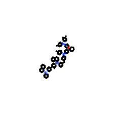 Cc1ccc(N(c2ccc(C)cc2)c2ccc(C3(c4ccc(N(c5ccc(C)cc5)c5ccc(Cc6cccc(N(c7ccc(-c8ccc(N(c9ccccc9)c9cccc%10ccccc9%10)cc8)cc7)c7cccc8ccccc78)c6)cc5)cc4)CCCCC3)cc2)cc1